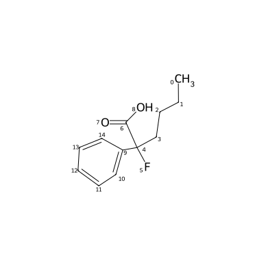 CCCCC(F)(C(=O)O)c1ccccc1